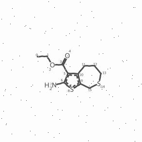 CCOC(=O)c1c(N)sc2c1CCCSC2